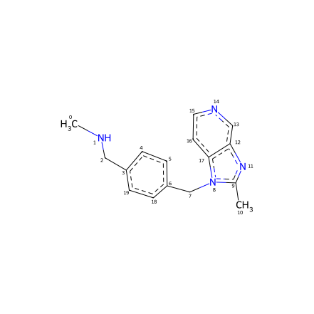 CNCc1ccc(Cn2c(C)nc3cnccc32)cc1